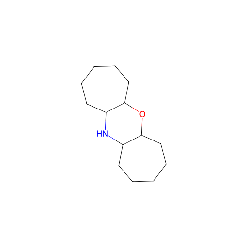 C1CCC2NC3CCCCCC3OC2CC1